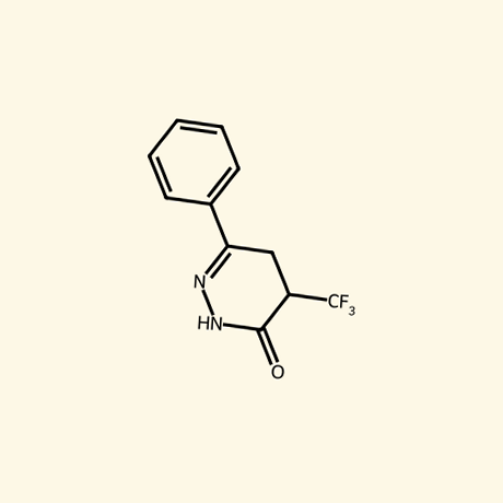 O=C1NN=C(c2ccccc2)CC1C(F)(F)F